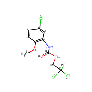 COc1ccc(Cl)cc1NC(=O)OCC(Cl)(Cl)Cl